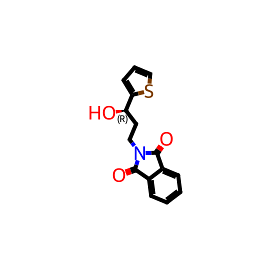 O=C1c2ccccc2C(=O)N1CC[C@@H](O)c1cccs1